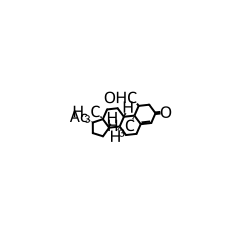 CC(=O)[C@H]1CC[C@H]2[C@@H]3CCC4=CC(=O)CC(C=O)[C@]4(C)[C@H]3CC[C@]12C